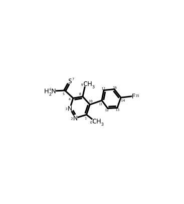 Cc1nnc(C(N)=S)c(C)c1-c1ccc(F)cc1